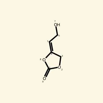 O=C1OCC(=CCO)O1